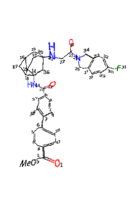 COC(=O)c1ccc(-c2ccc(C(=O)NC34CC5CC3CC(NCC(=O)N3Cc6ccc(F)cc6C3)(C5)C4)cc2)cc1